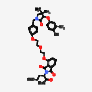 CNC(=O)C(CCC=O)N1C(=O)c2cccc(OCCOCCOc3ccc(CN4CC(C)(C)C(Oc5ccc(C#N)c(C(F)(F)F)c5)C4=O)cc3)c2C1=O